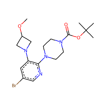 COC1CN(c2cc(Br)cnc2N2CCN(C(=O)OC(C)(C)C)CC2)C1